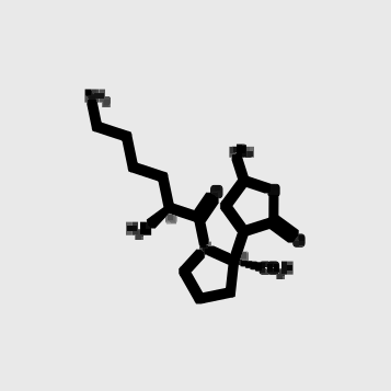 CCCCC1CC([C@@]2(C(=O)O)CCCN2C(=O)[C@@H](N)CCCCN)C(=O)O1